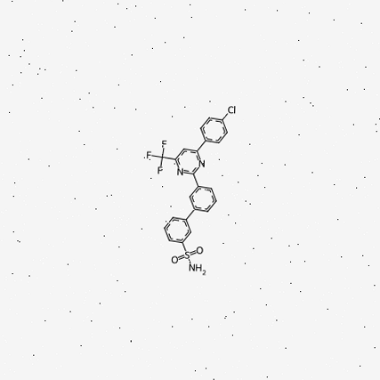 NS(=O)(=O)c1cccc(-c2cccc(-c3nc(-c4ccc(Cl)cc4)cc(C(F)(F)F)n3)c2)c1